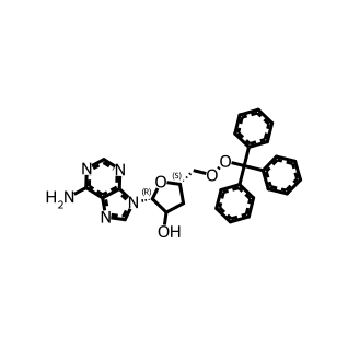 Nc1ncnc2c1ncn2[C@@H]1O[C@H](COOC(c2ccccc2)(c2ccccc2)c2ccccc2)CC1O